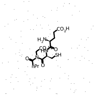 CCCC(=O)N(CC(=O)O)C(=O)[C@H](CS)NC(=O)[C@@H](N)CCC(=O)O